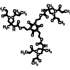 C=CC(=C)OCC(C)(COC(=O)C=C)NC(=O)OCCn1c(=O)n(CCOC(=O)NC(C)(COC(=O)C=C)COC(=O)C=C)c(=O)n(CCOC(=O)NC(C)(COC(=O)C=C)COC(=O)C=C)c1=O